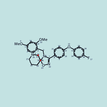 COc1ccc(CN2C(c3ccc(Oc4ccc(F)cc4)cc3)=NO[C@@]23CN2CCC3CC2)c(OC)c1